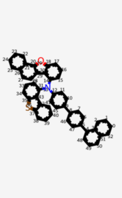 c1ccc2c(-c3ccc(-c4ccc(N(c5cccc6oc7c8ccccc8ccc7c56)c5cccc6sc7ccccc7c56)cc4)cc3)cccc2c1